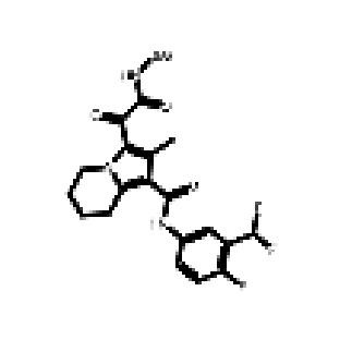 Cc1c(C(=O)Nc2ccc(F)c(C(F)F)c2)c2n(c1C(=O)C(=O)NC(C)(C)C)CCCC2